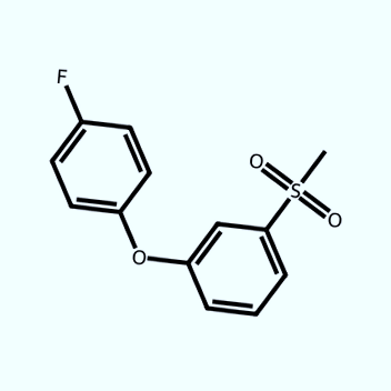 CS(=O)(=O)c1cccc(Oc2ccc(F)cc2)c1